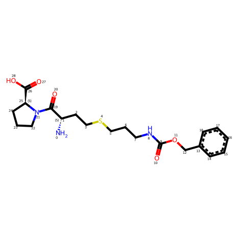 N[C@@H](CCSCCCNC(=O)OCc1ccccc1)C(=O)N1CCC[C@H]1C(=O)O